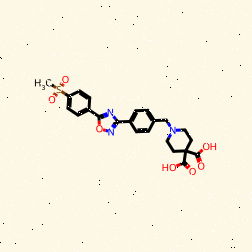 CS(=O)(=O)c1ccc(-c2nc(-c3ccc(CN4CCC(C(=O)O)(C(=O)O)CC4)cc3)no2)cc1